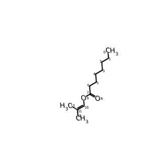 CCCCCCCC(=O)OC=C(C)C